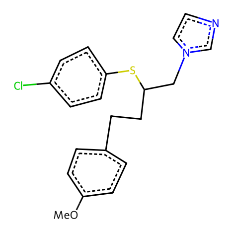 COc1ccc(CCC(Cn2ccnc2)Sc2ccc(Cl)cc2)cc1